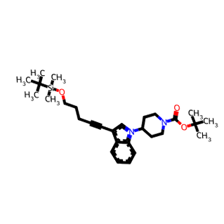 CC(C)(C)OC(=O)N1CCC(n2cc(C#CCCCO[Si](C)(C)C(C)(C)C)c3ccccc32)CC1